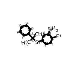 CC(C)(Sc1ccc(F)c(N)c1)c1ccccc1